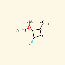 CC1CC(F)C1.CCOC=O